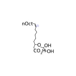 CCCCCCCC/C=C\CCCCCC(CC(=O)O)OCC(O)CO